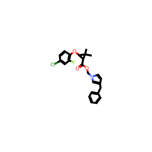 CC1(C)C(Oc2ccc(Cl)cc2F)C1C(=O)OCn1ccc(Cc2ccccc2)c1